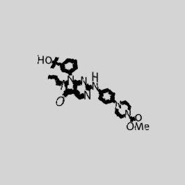 C=CCn1c(=O)c2cnc(Nc3ccc(N4CCN(C(=O)OC)CC4)cc3)nc2n1-c1cccc(C(C)(C)O)c1